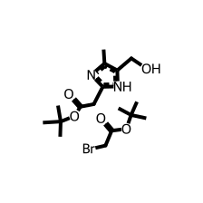 CC(C)(C)OC(=O)CBr.Cc1nc(CC(=O)OC(C)(C)C)[nH]c1CO